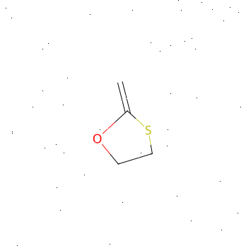 C=C1OCCS1